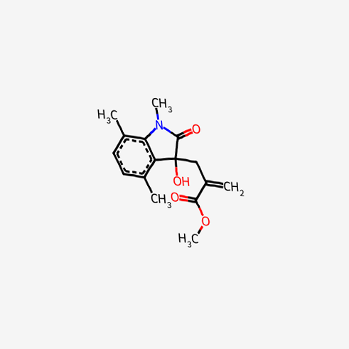 C=C(CC1(O)C(=O)N(C)c2c(C)ccc(C)c21)C(=O)OC